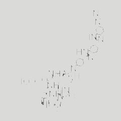 CC(=O)N[C@@H](CC(=O)O)C(=O)N[C@@H](CCC(=O)O)C(=O)NC(C(=O)N[C@@H](CC(=O)O)C(=O)NCCCCCN(C)c1ccc(-c2nc3ccc(-c4nc5ccc(N6CCN(C)CC6)cc5[nH]4)cc3[nH]2)cc1)C(C)C